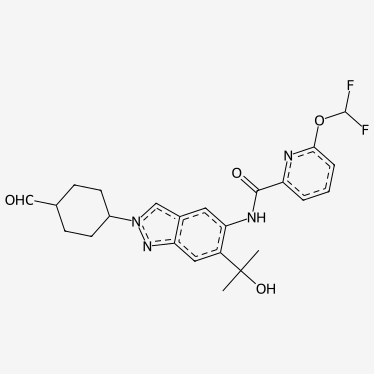 CC(C)(O)c1cc2nn(C3CCC(C=O)CC3)cc2cc1NC(=O)c1cccc(OC(F)F)n1